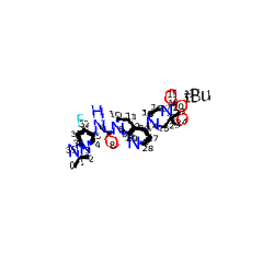 Cc1cn2cc(NC(=O)N3CCc4c(N5CCN(C(=O)OC(C)(C)C)C6(COC6)C5)ccnc43)c(F)cc2n1